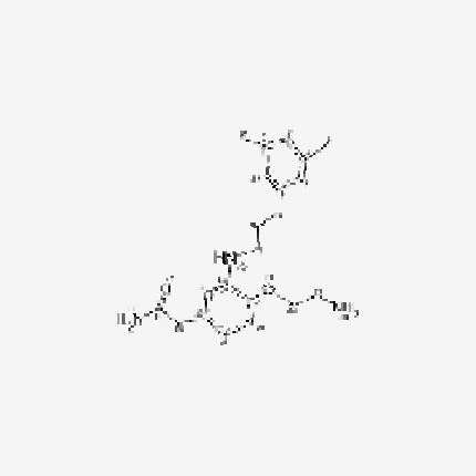 Cc1cc(C)cc(CCCNc2cc(CC(N)=O)ccc2OCCN)c1